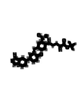 CC(C)(C)OC(=O)NCCNc1ccc(Cn2cc(-c3ccc4cn[nH]c4c3)ccc2=O)cc1[N+](=O)[O-]